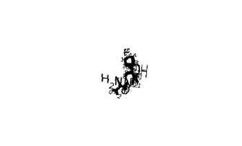 CC(C)C(N)C(=O)N1CC[C@@](O)(c2ccc(F)cc2)C(C)(C)C1